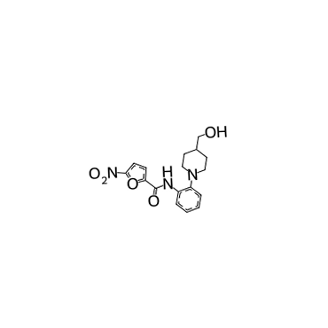 O=C(Nc1ccccc1N1CCC(CO)CC1)c1ccc([N+](=O)[O-])o1